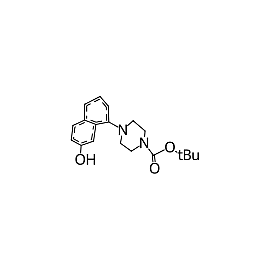 CC(C)(C)OC(=O)N1CCN(c2cccc3ccc(O)cc23)CC1